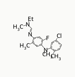 CCN(C)C=Nc1cc(F)c(N(C)c2cc(Cl)ccc2C)cc1C